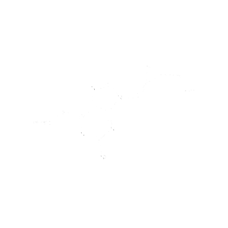 CCCCCSc1nc(N)nc2c1ncn2C=C1CC1CO